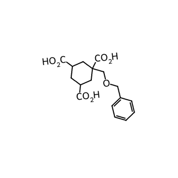 O=C(O)C1CC(C(=O)O)CC(COCc2ccccc2)(C(=O)O)C1